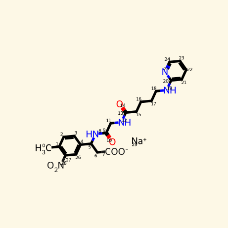 Cc1ccc(C(CC(=O)[O-])NC(=O)CNC(=O)CCCCNc2ccccn2)cc1[N+](=O)[O-].[Na+]